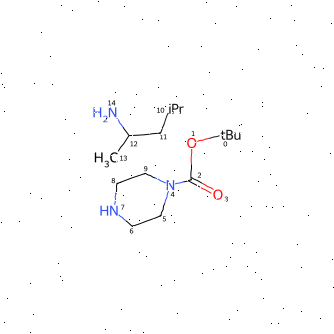 CC(C)(C)OC(=O)N1CCNCC1.CC(C)CC(C)N